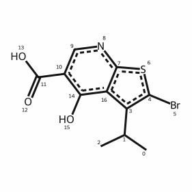 CC(C)c1c(Br)sc2ncc(C(=O)O)c(O)c12